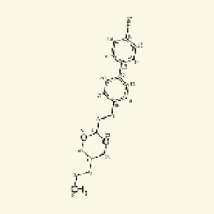 CCCC1COC(CCc2ccc(-c3ccc(F)cc3)cc2)OC1